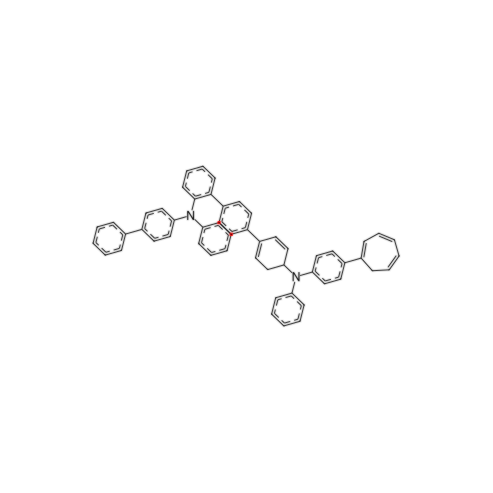 C1=CC=C(c2ccc(N(c3ccccc3)C3C=CC(c4ccc(-c5ccccc5N(c5ccccc5)c5ccc(-c6ccccc6)cc5)cc4)=CC3)cc2)CC=C1